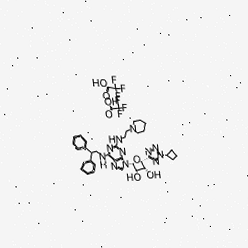 O=C(O)C(F)(F)F.O=C(O)C(F)(F)F.O[C@@H]1[C@H](O)[C@@H](c2nnn(C3CCC3)n2)O[C@H]1n1cnc2c(NCC(c3ccccc3)c3ccccc3)nc(NCCN3CCCCC3)nc21